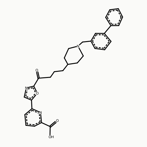 O=C(O)c1cccc(-c2cnc(C(=O)CCCC3CCN(Cc4cccc(-c5ccccc5)c4)CC3)o2)n1